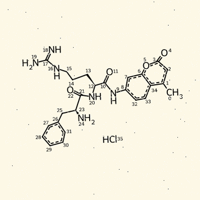 Cc1cc(=O)oc2cc(NC(=O)[C@H](CCCNC(=N)N)NC(=O)[C@@H](N)Cc3ccccc3)ccc12.Cl